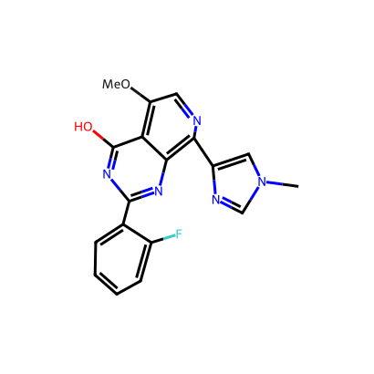 COc1cnc(-c2cn(C)cn2)c2nc(-c3ccccc3F)nc(O)c12